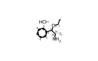 CCOC(c1ccccc1)[C@H](C)N.Cl